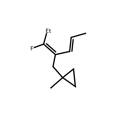 C/C=C/C(CC1(C)CC1)=C(/F)CC